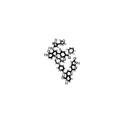 CN1CCN(c2ccc(Nc3cc(-c4cnc5c(c4)CC(=O)N5)nc4cc[nH]c(=O)c34)nc2)C(COc2cc(-c3cc(Nc4cc(C5CCOC5)[nH]n4)c4c(=O)[nH]ccc4n3)c(F)cc2C(=O)N2CCCCC2)C1